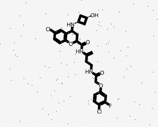 C=C(CCNC(=O)COc1ccc(Cl)c(F)c1)NC(=O)C1CC(N[C@H]2C[C@@H](O)C2)c2cc(Cl)ccc2O1